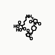 NCCCCC(C(=O)O)C(=O)O.O=C1C=CC(=O)N1CC1CCC(N2C(=O)CCC2=O)CC1